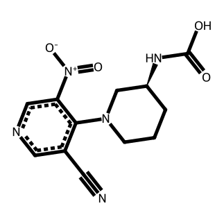 N#Cc1cncc([N+](=O)[O-])c1N1CCC[C@H](NC(=O)O)C1